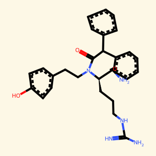 N=C(N)NCCC[C@H](C(N)=O)N(CCc1ccc(O)cc1)C(=O)C(c1ccccc1)c1ccccc1